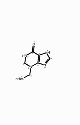 CCCCCCSN1CNC(=O)c2[nH]cnc21